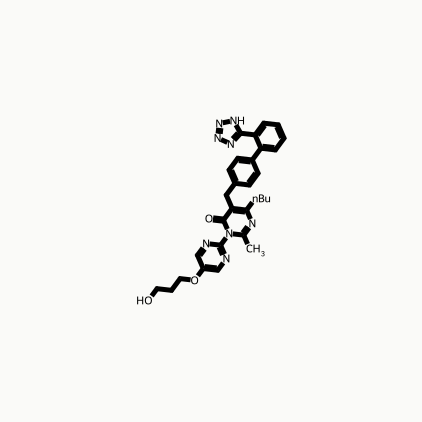 CCCCc1nc(C)n(-c2ncc(OCCCO)cn2)c(=O)c1Cc1ccc(-c2ccccc2-c2nnn[nH]2)cc1